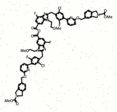 COCCn1c(Cc2cc(F)c(-c3cccc(OCc4ccc5c(c4)CN(C(=O)OC)C5)n3)cc2Cl)nc2c(F)cc(C(=O)OC(=O)c3cc(F)c4nc(Cc5cc(F)c(-c6cccc(OCc7ccc8c(c7)CN(C(=O)OC)C8)n6)cc5Cl)n(CCOC)c4c3)cc21